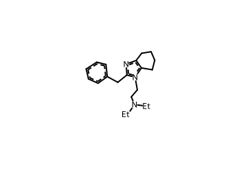 CCN(CC)CCn1c(Cc2ccccc2)nc2c1CCCC2